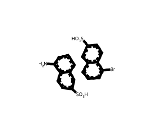 Nc1cccc2cc(S(=O)(=O)O)ccc12.O=S(=O)(O)c1ccc2c(Br)cccc2c1